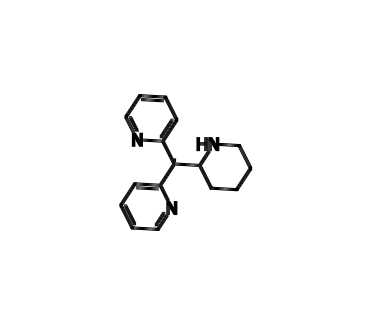 c1ccc([C](c2ccccn2)C2CCCCN2)nc1